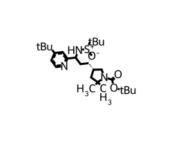 CC(C)(C)OC(=O)N1C[C@@H](CCC(N[S+]([O-])C(C)(C)C)c2cc(C(C)(C)C)ccn2)CC1(C)C